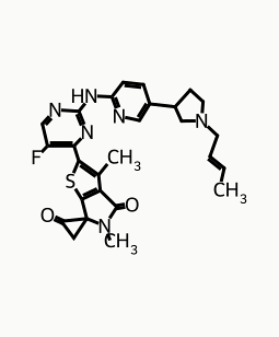 C/C=C/CN1CCC(c2ccc(Nc3ncc(F)c(-c4sc5c(c4C)C(=O)N(C)C54CC4=O)n3)nc2)C1